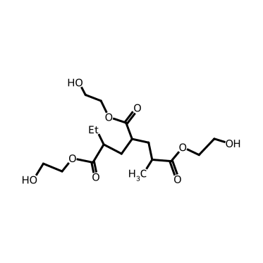 CCC(CC(CC(C)C(=O)OCCO)C(=O)OCCO)C(=O)OCCO